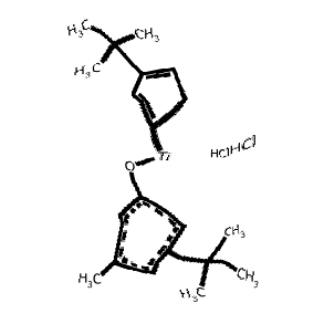 Cc1cc([O][Ti][C]2=CC(C(C)(C)C)=CC2)cc(C(C)(C)C)c1.Cl.Cl